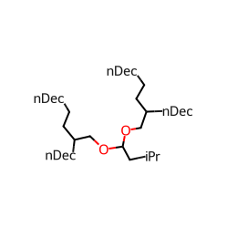 CCCCCCCCCCCCC(CCCCCCCCCC)COC(CC(C)C)OCC(CCCCCCCCCC)CCCCCCCCCCCC